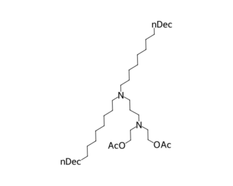 CCCCCCCCCCCCCCCCCCN(CCCCCCCCCCCCCCCCCC)CCCN(CCOC(C)=O)CCOC(C)=O